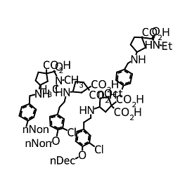 CCCCCCCCCCOc1ccc(CCNC2CCC(C(=O)O)(C(=O)O)C2)cc1Cl.CCCCCCCCCOc1ccc(CCNC2CCC(C(=O)O)(C(=O)O)C2)cc1Cl.CCCCCCCCCc1ccc(CNC2CCC(C(=O)O)(C(=O)N(C)C)C2)cc1.CCCCCCCCc1ccc(CNC2CCC(C(=O)O)(C(=O)NCC)C2)cc1